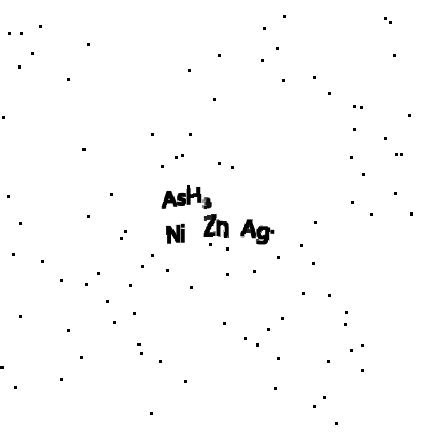 [Ag].[AsH3].[Ni].[Zn]